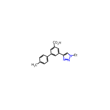 CCn1cc(-c2cc(C(=O)O)cc(-c3ccc(C)cc3)c2)nn1